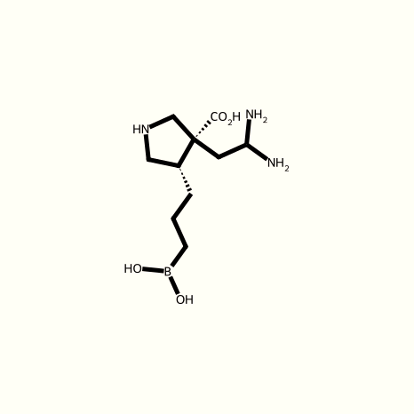 NC(N)C[C@]1(C(=O)O)CNC[C@H]1CCCB(O)O